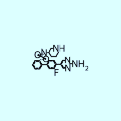 CN([C@@H]1CCCNC1)S(=O)(=O)c1ccccc1-c1ccc(-c2cnc(N)nc2)c(F)c1